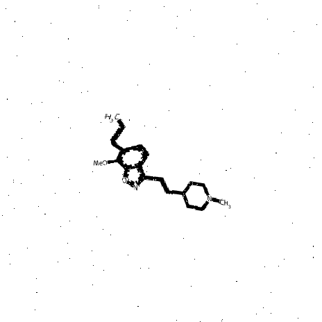 C/C=C/c1ccc2c(CCC3CCN(C)CC3)noc2c1OC